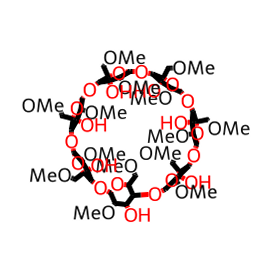 COCC1OC2OC3C(COC)OC(OC4C(COC)OC(OC5C(COC)OC(OC6C(COC)OC(OC7C(COC)OC(OC8C(COC)OC(OC1C(O)C2OC)C(OC)C8O)C(OC)C7O)C(OC)C6O)C(OC)C5O)C(OC)C4O)C(OC)C3O